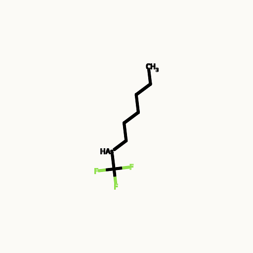 CCCCCC[AsH]C(F)(F)F